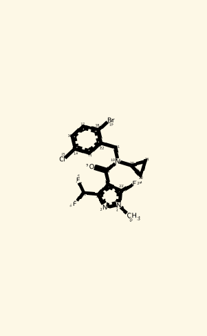 Cn1nc(C(F)F)c(C(=O)N(Cc2cc(Cl)ccc2Br)C2CC2)c1F